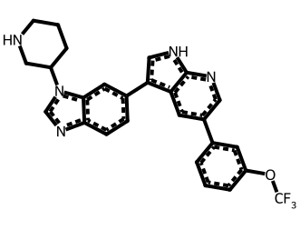 FC(F)(F)Oc1cccc(-c2cnc3[nH]cc(-c4ccc5ncn(C6CCCNC6)c5c4)c3c2)c1